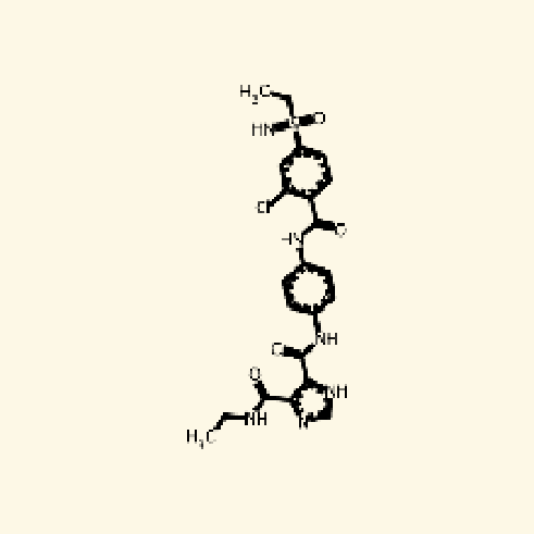 CCNC(=O)c1nc[nH]c1C(=O)Nc1ccc(NC(=O)c2ccc(S(=N)(=O)CC)cc2Cl)cc1